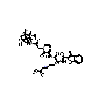 COC(=O)/C=C/CC[C@H](NC(=O)c1oc2ccccc2c1C)C(=O)Nc1cccn(CC(=O)N[C@@H]2C[C@@H]3C[C@H]([C@H]2C)C3(C)C)c1=O